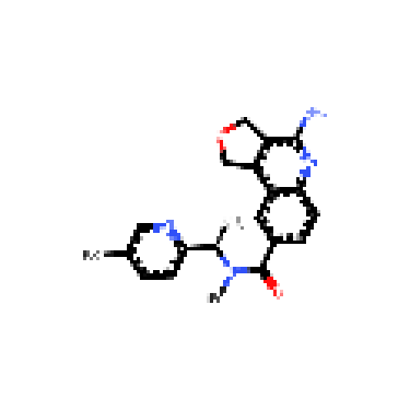 CC(C)N(C(=O)c1ccc2nc(N)c3c(c2c1)COC3)[C@H](C)c1ccc(C(F)(F)F)cn1